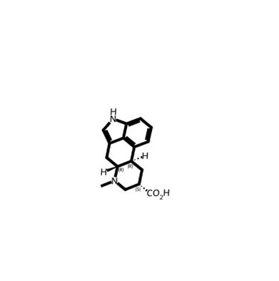 CN1C[C@@H](C(=O)O)C[C@@H]2c3cccc4[nH]cc(c34)C[C@H]21